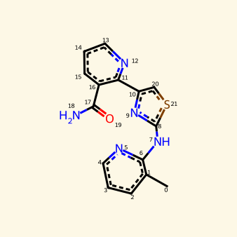 Cc1cccnc1Nc1nc(-c2ncccc2C(N)=O)cs1